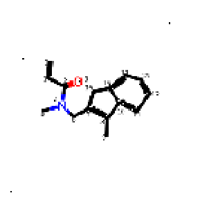 C=CC(=O)N(C)CC1=C(C)c2ccccc2C1